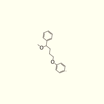 COC(CCCOc1cc[c]cc1)c1ccccc1